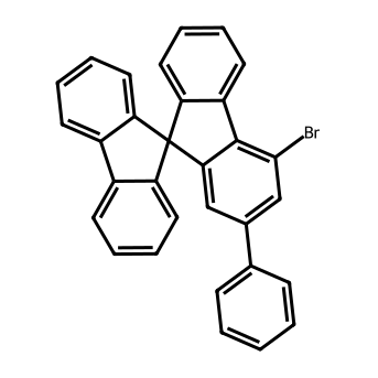 Brc1cc(-c2ccccc2)cc2c1-c1ccccc1C21c2ccccc2-c2ccccc21